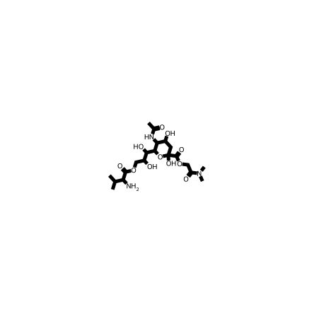 CC(=O)NC1C(O)CC(O)(C(=O)OCC(=O)N(C)C)OC1C(O)C(O)COC(=O)C(N)C(C)C